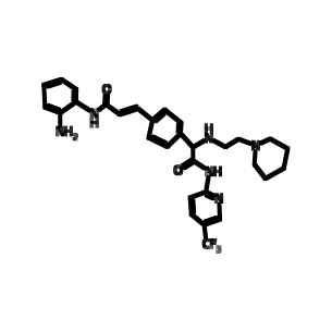 Nc1ccccc1NC(=O)/C=C/c1ccc(C(NCCN2CCCCC2)C(=O)Nc2ccc(C(F)(F)F)cn2)cc1